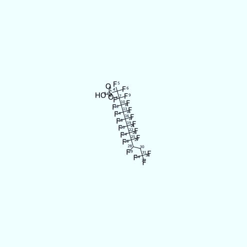 O=S(=O)(O)C(F)(F)C(F)(F)C(F)(F)C(F)(F)C(F)(F)C(F)(F)C(F)(F)C(F)(F)C(F)CC(F)(F)F